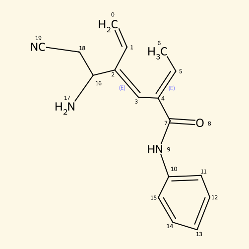 C=C/C(=C\C(=C/C)C(=O)Nc1ccccc1)C(N)CC#N